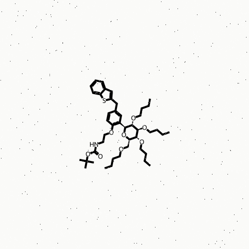 CCCCOC[C@H]1O[C@@H](c2cc(Cc3cc4ccccc4s3)ccc2OCCNC(=O)OC(C)(C)C)[C@H](OCCCC)[C@@H](OCCCC)[C@@H]1OCCCC